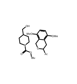 CC(C)(C)OC(=O)N1CCC(CO)CC1.COc1ccc(OC)c2c1COC(C(C)=O)C2